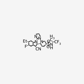 CCc1cc2c(cc1F)c(C#N)c(-c1ccc(S(=O)(=O)NC(C)C(F)(F)F)cn1)n2-c1ncccn1